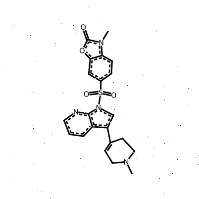 CN1CC=C(c2cn(S(=O)(=O)c3ccc4c(c3)oc(=O)n4C)c3ncccc23)CC1